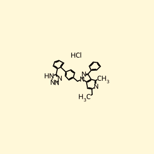 CCc1cc2c(c(C)n1)c(-c1ccccc1)nn2Cc1ccc(-c2ccccc2-c2nnn[nH]2)cc1.Cl